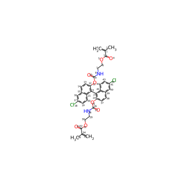 C=C(C)C(=O)OCCNC(=O)Oc1ccc2cc(Cl)ccc2c1-c1c(OC(=O)NCCOC(=O)C(=C)C)ccc2cc(Cl)ccc12